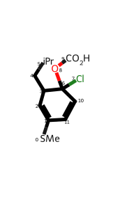 CSC1=CC(CC(C)C)C(Cl)(OC(=O)O)C=C1